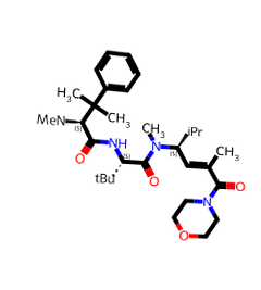 CN[C@H](C(=O)N[C@H](C(=O)N(C)[C@H](C=C(C)C(=O)N1CCOCC1)C(C)C)C(C)(C)C)C(C)(C)c1ccccc1